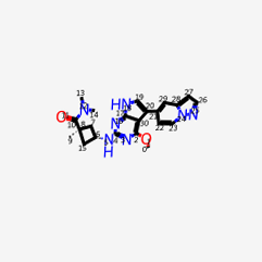 COc1nc(N[C@H]2C[C@](C)(C(=O)N(C)C)C2)nc2[nH]cc(-c3ccn4nccc4c3)c12